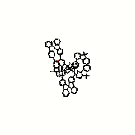 Cn1c2ccccc2c2ccc(-c3ccc4c(c3)C3(c5ccccc5-c5ccc(-c6ccc7c8ccc(-c9ccc%10c(c9)C9(c%11ccccc%11-c%11cc(Cn%12c%13ccccc%13c%13ccccc%13%12)ccc%119)C9C=CC=CC%109)cc8c8nc9c(-c%10cccc%11c%10-c%10ccccc%10C%11(C)C)sc(-c%10cccc%11c%10-c%10ccccc%10C%11(C)C)c9nc8c7c6)cc53)c3ccccc3-4)cc21